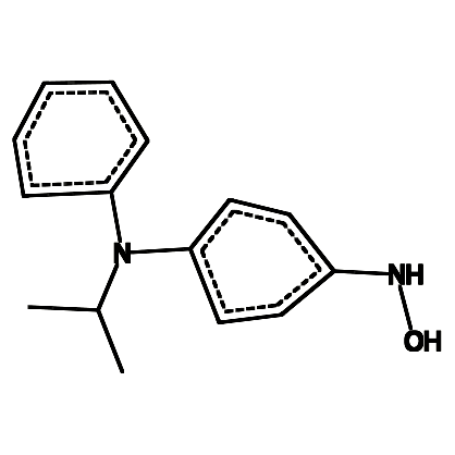 CC(C)N(c1ccccc1)c1ccc(NO)cc1